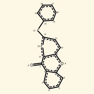 O=c1c2ccccc2oc2ccc([I+]c3ccccc3)cc12